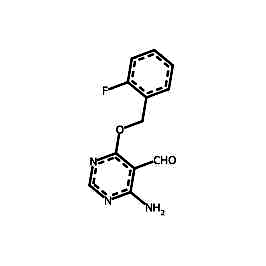 Nc1ncnc(OCc2ccccc2F)c1C=O